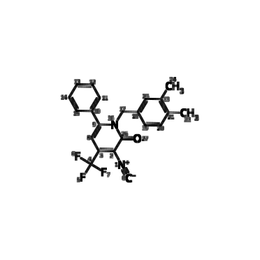 [C-]#[N+]c1c(C(F)(F)F)cc(-c2ccccc2)n(Cc2ccc(C)c(C)c2)c1=O